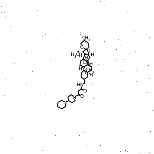 C=C[C@H]1[C@H]2[C@H](C[C@H]3[C@@H]4CC[C@@H]5CC(CNC(=O)CC(=O)N6CCC(N7CCCCC7)CC6)CC[C@]5(C)[C@H]4CC[C@]23C)O[C@]12CC[C@H](C)CO2